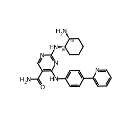 NC(=O)c1cnc(N[C@@H]2CCCC[C@@H]2N)nc1Nc1ccc(-c2ccccn2)cc1